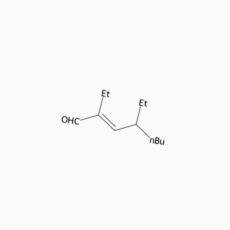 CCCCC(C=C(C=O)CC)CC